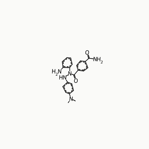 CN(C)c1ccc(NN(C(=O)c2ccc(C(N)=O)cc2)c2ccccc2N)cc1